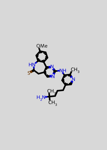 COc1ccc2c(c1)NC(=S)Cc1cnc(Nc3cc(CCCC(C)(C)N)cnc3C)nc1-2